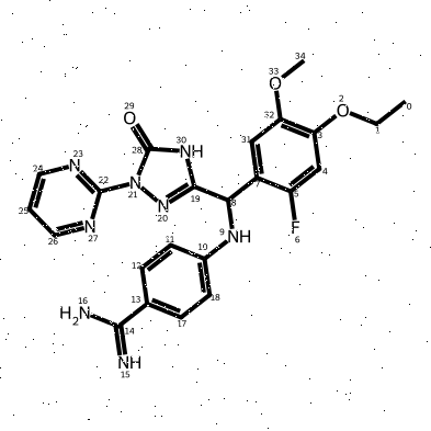 CCOc1cc(F)c(C(Nc2ccc(C(=N)N)cc2)c2nn(-c3ncccn3)c(=O)[nH]2)cc1OC